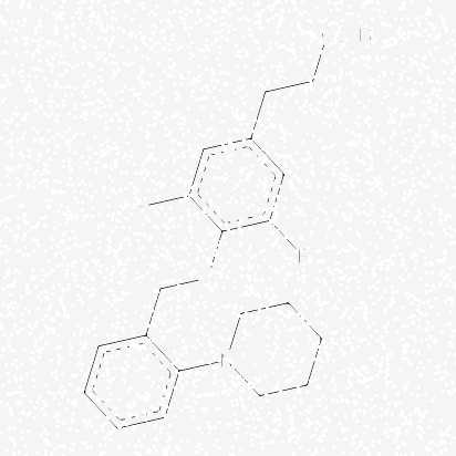 O=C(O)CCc1cc(F)c(OCc2ccccc2N2CCCCC2)c(F)c1